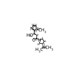 CN(C)[C@H]1CCN(C(=O)C[C@H](O)c2nccn2C)C1